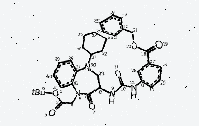 CC(C)(C)OC(=O)CN1C(=O)C(NC(=O)Nc2cccc(C(=O)OCc3ccccc3)c2)CN(C2CCCCC2)c2ccccc21